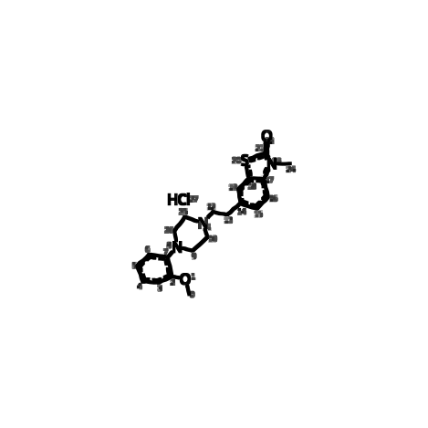 COc1ccccc1N1CCN(CCc2ccc3c(c2)sc(=O)n3C)CC1.Cl